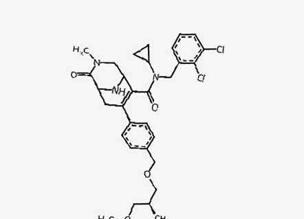 COC[C@H](C)COCc1ccc(C2=C(C(=O)N(Cc3cccc(Cl)c3Cl)C3CC3)C3CN(C)C(=O)C(C2)N3)cc1